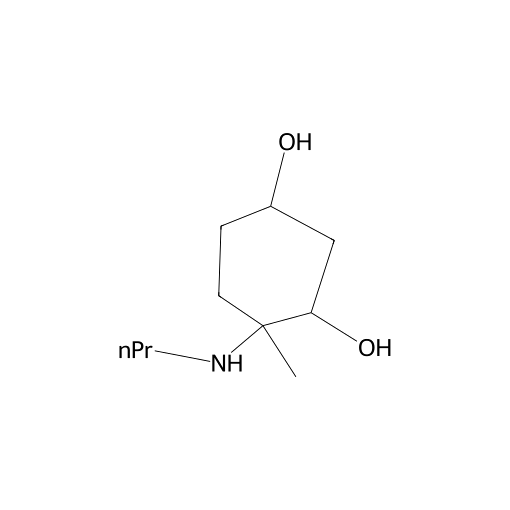 CCCNC1(C)CCC(O)CC1O